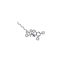 CCCCCCCOC(=O)C(C)(Cl)/N=N/c1c(Cl)cc(Cl)cc1Cl